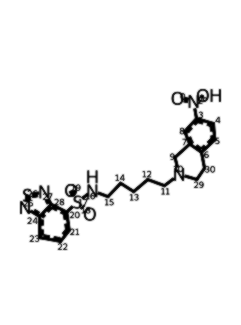 O=[N+](O)c1ccc2c(c1)CN(CCCCCNS(=O)(=O)c1cccc3nsnc13)CC2